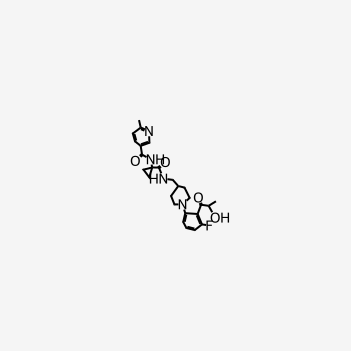 Cc1ccc(C(=O)NC2(C(=O)NCC3CCN(c4cccc(F)c4C(=O)C(C)O)CC3)CC2)cn1